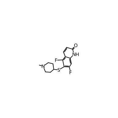 CN1CCC(Sc2c(F)cc3[nH]c(=O)ccc3c2F)CC1